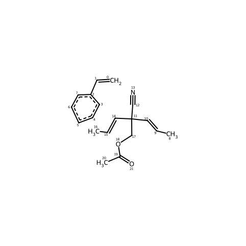 C=Cc1ccccc1.CC=CC(C#N)(C=CC)COC(C)=O